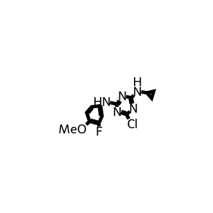 COc1ccc(Nc2nc(Cl)nc(NC3CC3)n2)cc1F